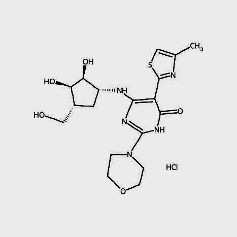 Cc1csc(-c2c(N[C@@H]3C[C@H](CO)[C@@H](O)[C@H]3O)nc(N3CCOCC3)[nH]c2=O)n1.Cl